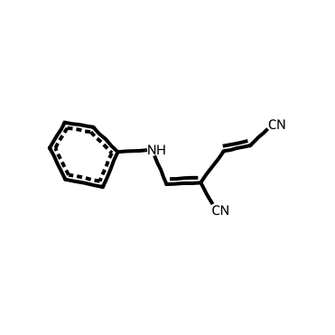 N#CC=CC(C#N)=CNc1ccccc1